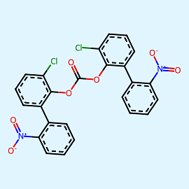 O=C(Oc1c(Cl)cccc1-c1ccccc1[N+](=O)[O-])Oc1c(Cl)cccc1-c1ccccc1[N+](=O)[O-]